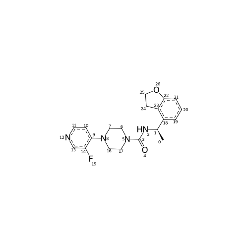 C[C@@H](NC(=O)N1CCN(c2ccncc2F)CC1)c1cccc2c1CCO2